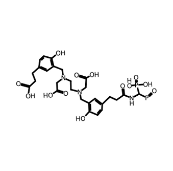 O=PC(NC(=O)CCc1ccc(O)c(CN(CCN(CC(=O)O)Cc2cc(CCC(=O)O)ccc2O)CC(=O)O)c1)P(=O)(O)O